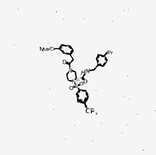 COc1cccc(CC(=O)N2CCN(S(=O)(=O)c3ccc(C(F)(F)F)cc3)[C@@H](C(=O)NCc3ccc(C(C)C)cc3)C2)c1